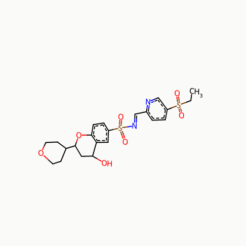 CCS(=O)(=O)c1ccc(C=NS(=O)(=O)c2ccc3c(c2)C(O)CC(C2CCOCC2)O3)nc1